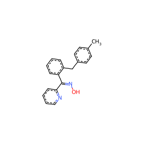 Cc1ccc(Cc2ccccc2C(=NO)c2ccccn2)cc1